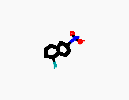 O=[N+]([O-])c1ccc2c(F)cccc2c1